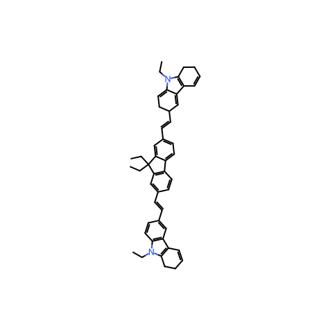 CCn1c2c(c3c1=CCC(/C=C/c1ccc4c(c1)C(CC)(CC)c1cc(/C=C/c5ccc6c(c5)c5c(n6CC)CCC=C5)ccc1-4)C=3)C=CCC2